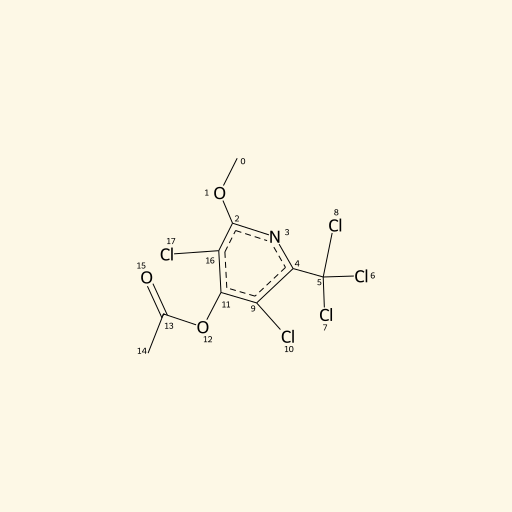 COc1nc(C(Cl)(Cl)Cl)c(Cl)c(OC(C)=O)c1Cl